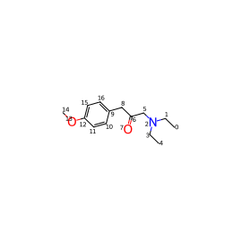 CCN(CC)CC(=O)Cc1ccc(OC)cc1